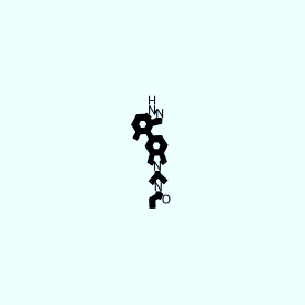 C=CC(=O)N1CC(N2Cc3ccc(-c4c(C)ccc5[nH]ncc45)cc3C2)C1